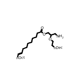 CCCCCCCCC=CCCCCCCCC(=O)OCC(CN)OCCCCCCCCCCCC